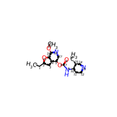 CCc1cc2c(OC(=O)Nc3ccncc3C)cnc(OC)c2o1